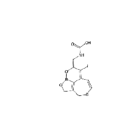 O=C(O)NCC1OB2OCC3=C2C(=C1I)C=COC3